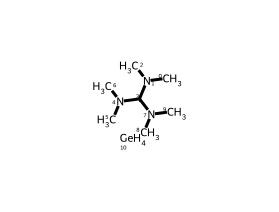 CN(C)[C](N(C)C)N(C)C.[GeH4]